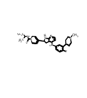 C=C(C)NC(=O)N1CC=C(C2Cc3c(Nc4ccc(F)c(C5CCN(C)CC5)c4)ccnc3N2)CC1